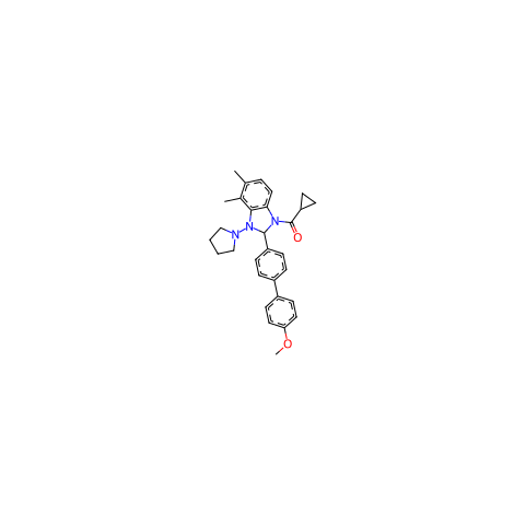 COc1ccc(-c2ccc(C3N(C(=O)C4CC4)c4ccc(C)c(C)c4N3N3CCCC3)cc2)cc1